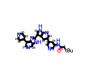 CC(C)(C)CC(=O)Nc1cncc(-c2cnc3[nH]cc(-c4nc5c(-c6ccncc6)cncc5[nH]4)c3c2)c1